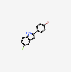 Fc1ccc2[nH]c(-c3ccc(Br)cc3)cc2c1